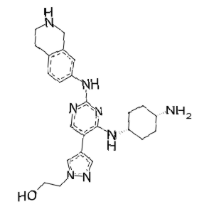 N[C@H]1CC[C@@H](Nc2nc(Nc3ccc4c(c3)CNCC4)ncc2-c2cnn(CCO)c2)CC1